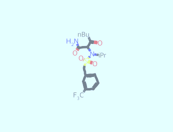 CCCCC(=O)C(C(N)=O)N(C(C)C)S(=O)(=O)Cc1cccc(C(F)(F)F)c1